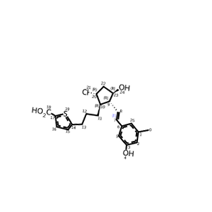 Cc1cc(O)cc(/C=C/[C@@H]2[C@@H](CCCc3ccc(C(=O)O)s3)[C@H](Cl)C[C@H]2O)c1